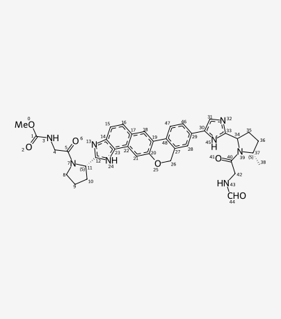 COC(=O)NCC(=O)N1CCC[C@H]1c1nc2ccc3cc4c(cc3c2[nH]1)OCc1cc(-c2cnc(C3CC[C@H](C)N3C(=O)CNC=O)[nH]2)ccc1-4